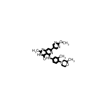 COc1ncc(-c2cc3nc(C)[nH]c(=O)c3c(Nc3ccc(N4CCO[C@H](C)C4)c(C)c3)n2)cn1